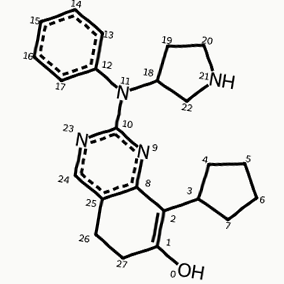 OC1=C(C2CCCC2)c2nc(N(c3ccccc3)C3CCNC3)ncc2CC1